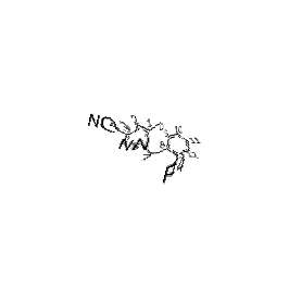 Cc1cc(C#N)nn1Cc1ccccc1F